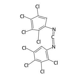 Clc1cc(N=C=Nc2cc(Cl)c(Cl)c(Cl)c2Cl)c(Cl)c(Cl)c1Cl